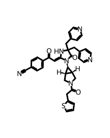 N#Cc1ccc(C(=O)/C=C2\NC(Cc3ccncc3)(Cc3ccncc3)C(=O)N2[C@H]2[C@@H]3CN(C(=O)Cc4cccs4)C[C@@H]32)cc1